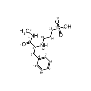 CNC(=O)[C@H](Cc1ccccc1)NCCCS(=O)(=O)O